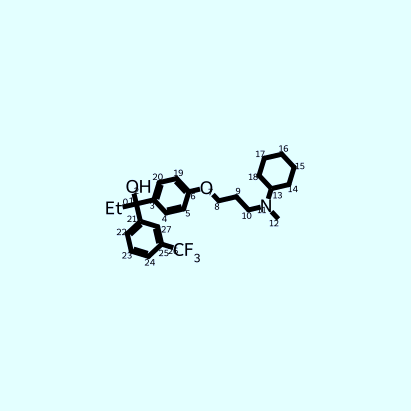 CCC(O)(c1ccc(OCCCN(C)C2CCCCC2)cc1)c1cccc(C(F)(F)F)c1